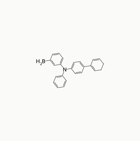 Bc1cccc(N(c2ccccc2)c2ccc(C3=CCCC=C3)cc2)c1